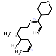 C/C=C\CC(C)[C@H](C)CC/N=C(\C=N)C1CCOCC1